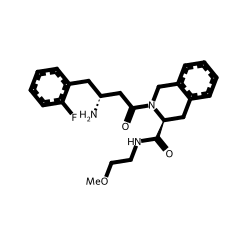 COCCNC(=O)[C@@H]1Cc2ccccc2CN1C(=O)C[C@H](N)Cc1ccccc1F